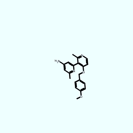 COc1ccc(COc2ccnc(C)c2-c2cc(N)cc(C)n2)cc1